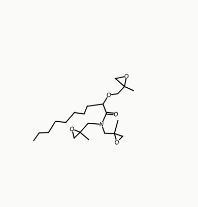 CCCCCCCCC(OCC1(C)CO1)C(=O)N(CC1(C)CO1)CC1(C)CO1